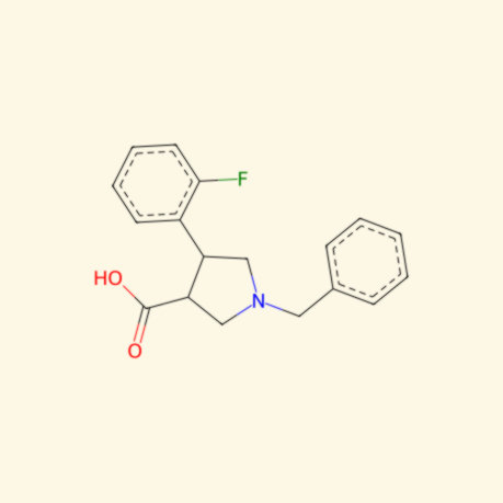 O=C(O)C1CN(Cc2ccccc2)CC1c1ccccc1F